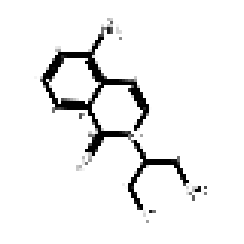 CC(=O)OCC(CC(C)C)n1ccc2c(N)cccc2c1=O